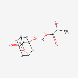 CC(Br)C(=O)OCOC12CC3CC(C1)OC(=O)C(C3)C2